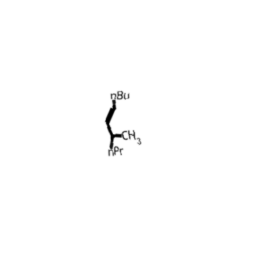 CCCCC=CC(C)CCC